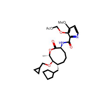 COc1ccnc(C(=O)N[C@H]2CCC[C@H](CC3CCCC3)[C@@H](OCC3CC3)[C@H](C)OC2=O)c1OCOC(C)=O